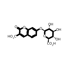 O=C(O)c1cc2ccc(O[C@@H]3O[C@H](C(=O)O)[C@@H](O)[C@H](O)[C@H]3O)cc2oc1=O